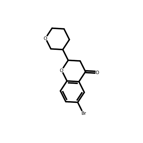 O=C1CC(C2CCCOC2)Oc2ccc(Br)cc21